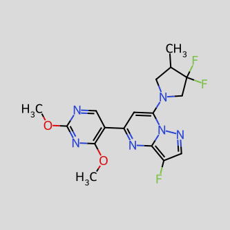 COc1ncc(-c2cc(N3CC(C)C(F)(F)C3)n3ncc(F)c3n2)c(OC)n1